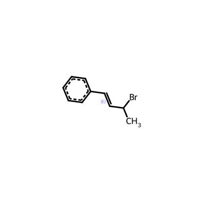 CC(Br)/C=C/c1ccccc1